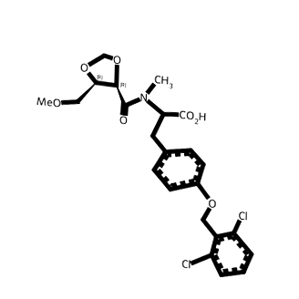 COC[C@H]1OCO[C@H]1C(=O)N(C)C(Cc1ccc(OCc2c(Cl)cccc2Cl)cc1)C(=O)O